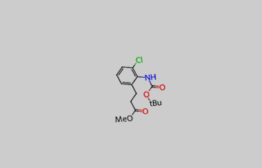 COC(=O)CCc1cccc(Cl)c1NC(=O)OC(C)(C)C